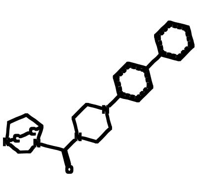 O=C(N1CCN(c2ccc(-c3ccccc3)cc2)CC1)N1CCN2CCC1CC2